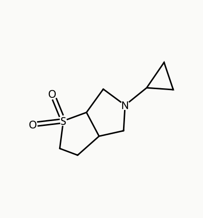 O=S1(=O)CCC2CN(C3CC3)CC21